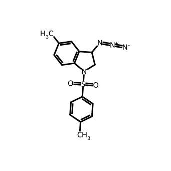 Cc1ccc(S(=O)(=O)N2CC(N=[N+]=[N-])c3cc(C)ccc32)cc1